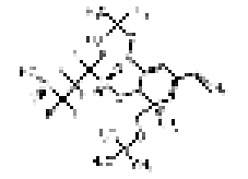 C=CC1=C[C@](C)(COC(C)(C)C)C(OS(=O)(=O)C(F)(F)C(F)(F)C(F)(F)S(=O)(=O)O)C(COC(C)(C)C)=C1